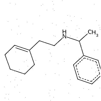 CC(NCCC1=CCCCC1)c1ccccc1